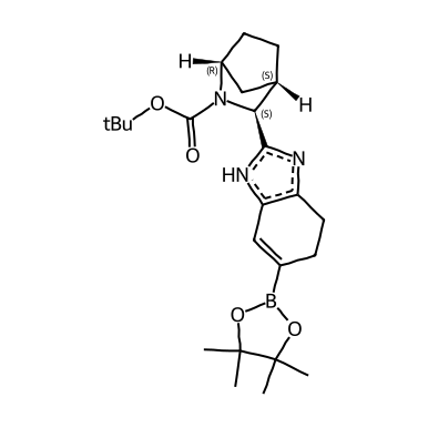 CC(C)(C)OC(=O)N1[C@@H]2CC[C@@H](C2)[C@H]1c1nc2c([nH]1)C=C(B1OC(C)(C)C(C)(C)O1)CC2